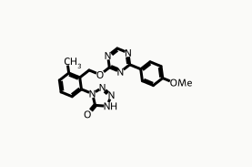 COc1ccc(-c2ncnc(OCc3c(C)cccc3-n3nn[nH]c3=O)n2)cc1